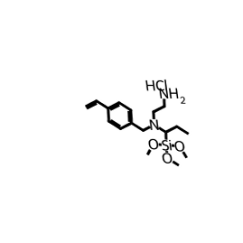 C=Cc1ccc(CN(CCN)C(CC)[Si](OC)(OC)OC)cc1.Cl